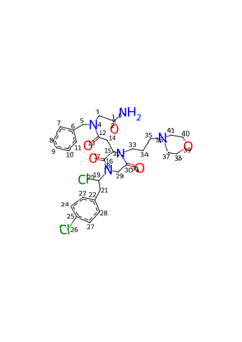 NC(=O)CN(Cc1ccccc1)C(=O)CC1C(=O)N(C(Cl)Cc2ccc(Cl)cc2)CC(=O)N1CCCN1CCOCC1